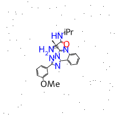 COc1cccc(-c2nc3c4ccccc4nc([C@](C)(N)C(=O)NC(C)C)n3n2)c1